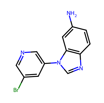 Nc1ccc2ncn(-c3cncc(Br)c3)c2c1